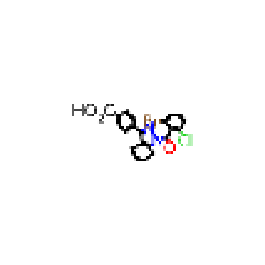 O=C(O)c1ccc(-c2nn(C(=O)c3c(Cl)cccc3Br)c3c2CCCC3)cc1